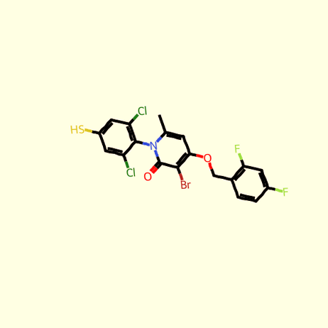 Cc1cc(OCc2ccc(F)cc2F)c(Br)c(=O)n1-c1c(Cl)cc(S)cc1Cl